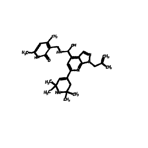 C=C(C)Cn1ncc2c(C(O)NCc3c(C)cc(C)[nH]c3=O)cc(C3=CC(C)(C)NC(C)(C)C3)nc21